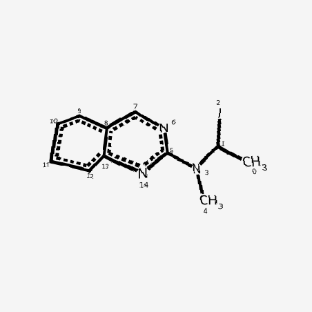 CC(I)N(C)c1ncc2ccccc2n1